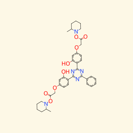 CC1CCCCN1OC(=O)COc1ccc(-c2nc(-c3ccccc3)nc(-c3ccc(OCC(=O)ON4CCCCC4C)cc3O)n2)c(O)c1